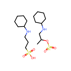 CC(CNC1CCCCC1)O[SH](=O)=O.O=S(=O)(O)CCCNC1CCCCC1